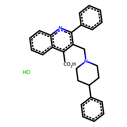 Cl.O=C(O)c1c(CN2CCC(c3ccccc3)CC2)c(-c2ccccc2)nc2ccccc12